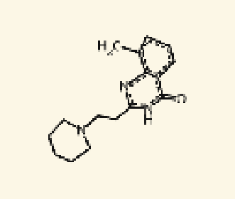 Cc1cccc2c(=O)[nH]c(CCN3CCCCC3)nc12